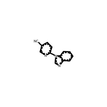 N#Cc1ccc(-n2cnc3ccccc32)nc1